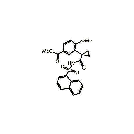 COC(=O)c1ccc(OC)c(C2(C(=O)NS(=O)(=O)c3cccc4ccccc34)CC2)c1